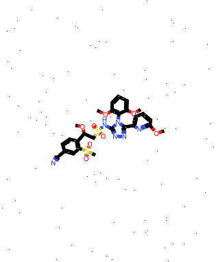 COc1cccc(-c2nnc(NS(=O)(=O)CC(OC)c3ccc(C#N)cc3S(C)(=O)=O)n2-c2c(OC)cccc2OC)n1